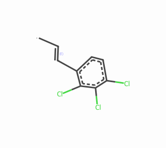 [CH2]/C=C/c1ccc(Cl)c(Cl)c1Cl